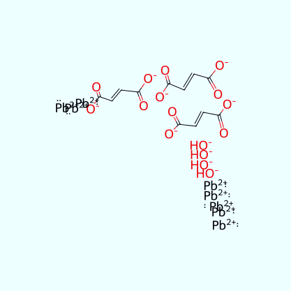 O=C([O-])C=CC(=O)[O-].O=C([O-])C=CC(=O)[O-].O=C([O-])C=CC(=O)[O-].[OH-].[OH-].[OH-].[OH-].[Pb+2].[Pb+2].[Pb+2].[Pb+2].[Pb+2].[Pb+2].[Pb+2].[Pb+2]